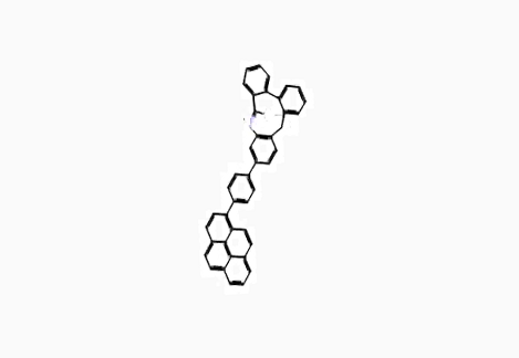 C/C1=N\c2cc(-c3ccc(-c4ccc5ccc6cccc7ccc4c5c67)cc3)ccc2Cc2ccccc2-c2ccccc21